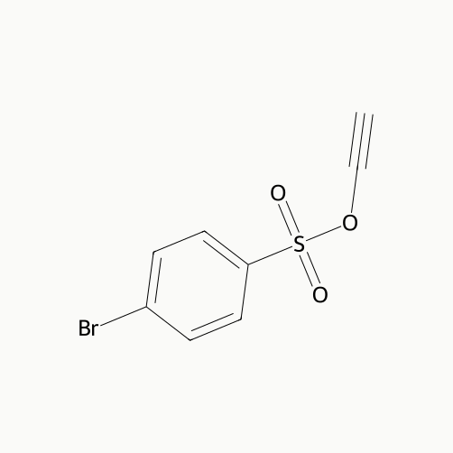 C#COS(=O)(=O)c1ccc(Br)cc1